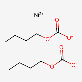 CCCCOC(=O)[O-].CCCCOC(=O)[O-].[Ni+2]